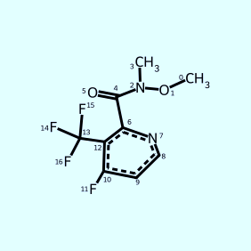 CON(C)C(=O)c1nccc(F)c1C(F)(F)F